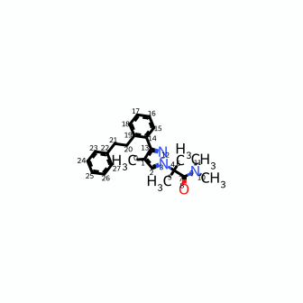 Cc1cn(C(C)(C)C(=O)N(C)C)nc1-c1ccccc1CCc1ccccc1